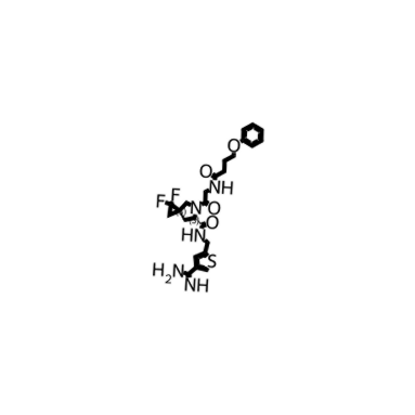 N=C(N)c1csc(CNC(=O)[C@@H]2C[C@@]3(CN2C(=O)CNC(=O)CCCOc2ccccc2)CC3(F)F)c1